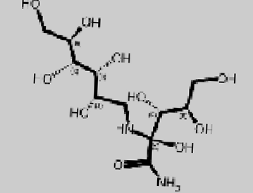 NC(=O)[C@](O)(NC[C@H](O)[C@@H](O)[C@H](O)[C@H](O)CO)[C@H](O)[C@H](O)CO